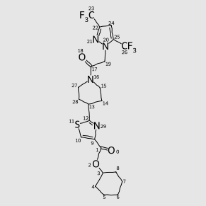 O=C(OC1CCCCC1)c1csc(C2CCN(C(=O)Cn3nc(C(F)(F)F)cc3C(F)(F)F)CC2)n1